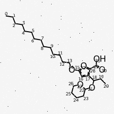 CCCCCCCCCCCCCCOc1cc(C(CC)OC2CCCCO2)c(C(=O)O)o1